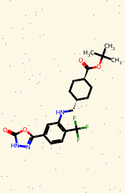 CC(C)(C)OC(=O)[C@H]1CC[C@H](CNc2cc(-c3n[nH]c(=O)o3)ccc2C(F)(F)F)CC1